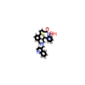 O=C(NO)C1=CCC(c2cccc(CN(CCCc3ccccc3)Cc3ccnc4ccccc34)c2)S1